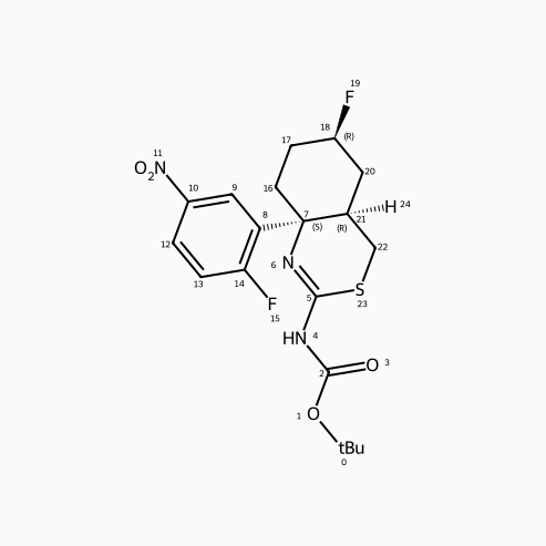 CC(C)(C)OC(=O)NC1=N[C@@]2(c3cc([N+](=O)[O-])ccc3F)CC[C@@H](F)C[C@H]2CS1